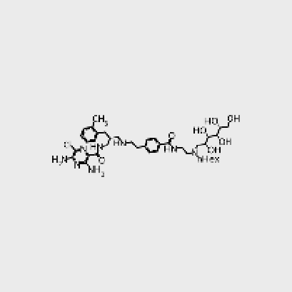 CCCCCCN(CCNC(=O)c1ccc(CCNC[C@@H](CNC(=O)c2nc(Cl)c(N)nc2N)Cc2ccccc2C)cc1)C[C@H](O)[C@@H](O)[C@H](O)[C@H](O)CO